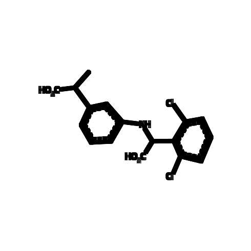 CC(C(=O)O)c1cccc(NC(C(=O)O)c2c(Cl)cccc2Cl)c1